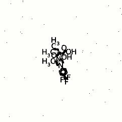 CC(C)C[C@H](C(=O)N1CCN(c2ccc(C(F)(F)F)cc2)C[C@H]1C)[C@H](O)C(=O)O